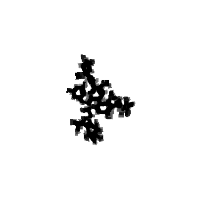 Cn1nc(NS(C)(=O)=O)c2c(Cl)ccc(-c3cc(N)c(C#CC4(O)CC(F)(F)C4)nc3[C@H](Cc3cc(F)cc(F)c3)NC(=O)Cn3nc(C(F)F)c4c3C(F)(F)[C@@H]3C[C@H]43)c21